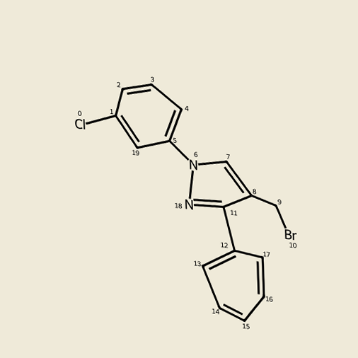 Clc1cccc(-n2cc(CBr)c(-c3ccccc3)n2)c1